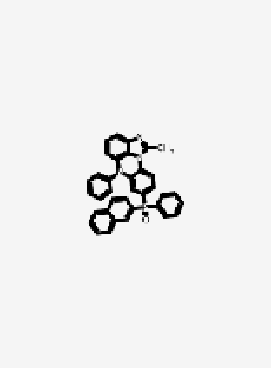 Cc1nc2cccc3c2n1-c1ccc(P(=O)(c2ccccc2)c2ccc4ccccc4c2)cc1N3c1ccccc1